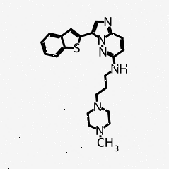 CN1CCN(CCCNc2ccc3ncc(-c4cc5ccccc5s4)n3n2)CC1